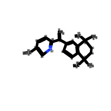 C=C(c1ccc2c(c1)C(C)(C)CCC2(C)C)c1ccc(C(=O)O)cn1